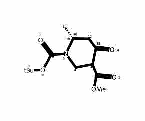 COC(=O)C1CN(C(=O)OC(C)(C)C)[C@H](C)CC1=O